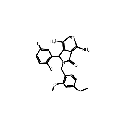 COc1ccc(CN2C(=O)c3c(N)ncc(N)c3C2c2cc(F)ccc2Cl)c(OC)c1